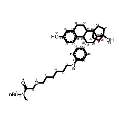 CCCCN(C)C(=O)COCCCCCCOc1ccc([C@H]2C[C@]3(C)C4(O)CCC3(CC4)C3CCc4cc(O)ccc4C32)cc1